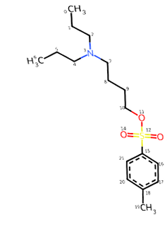 CCCN(CCC)CCCCOS(=O)(=O)c1ccc(C)cc1